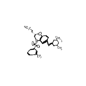 C[C@@H]1C/C(=C\c2ccc3c(c2)N(S(=O)(=O)c2cccc(C(F)(F)F)c2)C[C@H](CCC(=O)O)O3)C[C@H](C)C1